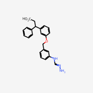 NN=CNc1cccc(COc2cccc(C(CC(=O)O)c3ccccc3)c2)c1